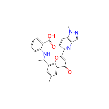 Cc1cc(C(C)Nc2ccccc2C(=O)O)c2oc(-c3ccc4c(cnn4C)n3)cc(=O)c2c1